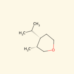 CC(C)[C@@H]1CCOC[C@@H]1C